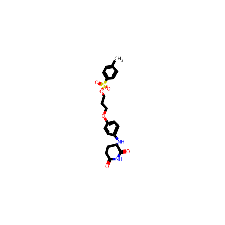 Cc1ccc(S(=O)(=O)OCCCOc2ccc(NC3CCC(=O)NC3=O)cc2)cc1